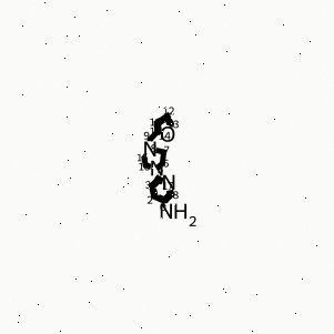 Nc1ccc(N2CCN(Cc3ccco3)CC2)nc1